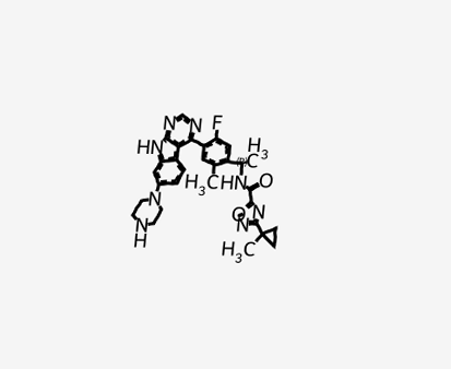 Cc1cc(-c2ncnc3[nH]c4cc(N5CCNCC5)ccc4c23)c(F)cc1[C@@H](C)NC(=O)c1nc(C2(C)CC2)no1